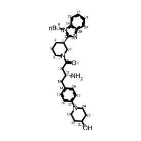 CCCCn1c([C@@H]2CCCN(C(=O)C[C@H](N)Cc3ccc(N4CCC(O)CC4)cc3)C2)nc2ccccc21